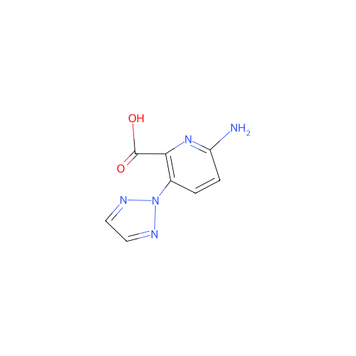 Nc1ccc(-n2nccn2)c(C(=O)O)n1